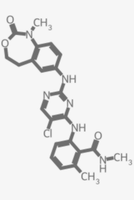 CNC(=O)c1c(C)cccc1Nc1nc(Nc2ccc3c(c2)CCOC(=O)N3C)ncc1Cl